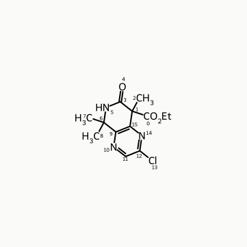 CCOC(=O)C1(C)C(=O)NC(C)(C)c2ncc(Cl)nc21